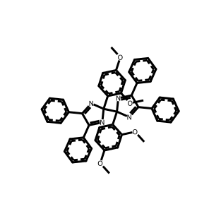 COc1ccc(C2(C3(c4ccc(OC)cc4OC)N=C(c4ccccc4)C(c4ccccc4)=N3)N=C(c3ccccc3)C(c3ccccc3)=N2)c(OC)c1